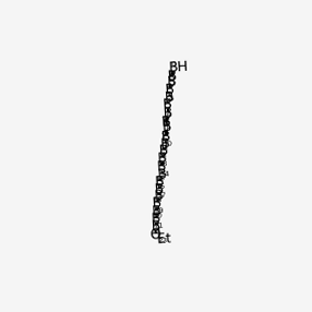 B=BB=BB=BB=BB=BB=BB=BB=BB=BB=BB=BOCC